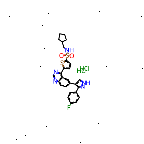 Cl.Cl.O=S(=O)(NCC1CCCC1)c1ccc(-c2ncnc3ccc(-c4c[nH]nc4-c4ccc(F)cc4)cc23)s1